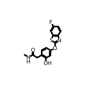 CNC(=O)Cc1ccc(Oc2nc3ccc(F)cc3s2)cc1O